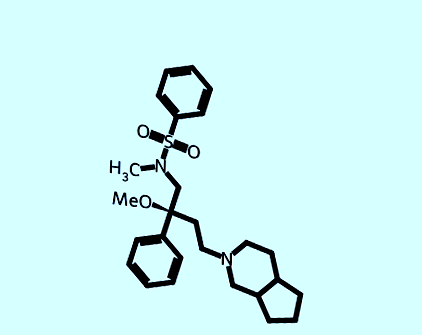 CO[C@](CCN1CCC2CCCC2C1)(CN(C)S(=O)(=O)c1ccccc1)c1ccccc1